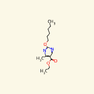 CCCCCCOc1ncc(C(=O)OCC)c(C)n1